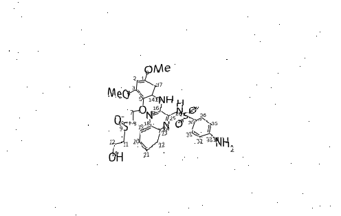 COC1=CC(OC)=C(OCC[S+]([O-])CCO)C(NC2=NC3=CC=CCC3N=C2NS(=O)(=O)c2ccc(N)cc2)C1